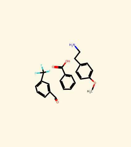 COc1ccc(CCN)cc1.O=C(O)c1ccccc1.O=Cc1cccc(C(F)(F)F)c1